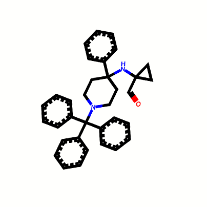 O=CC1(NC2(c3ccccc3)CCN(C(c3ccccc3)(c3ccccc3)c3ccccc3)CC2)CC1